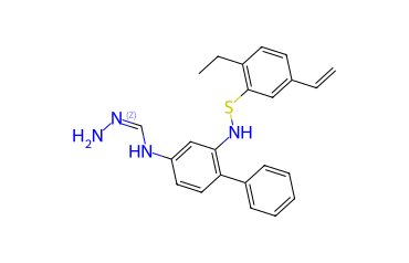 C=Cc1ccc(CC)c(SNc2cc(N/C=N\N)ccc2-c2ccccc2)c1